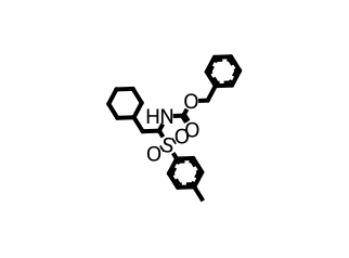 Cc1ccc(S(=O)(=O)C(CC2CCCCC2)NC(=O)OCc2ccccc2)cc1